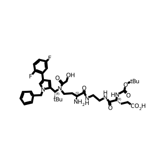 CC(C)(C)OC(=O)N[C@H](CCC(=O)O)C(=O)NCCNC(=O)[C@@H](N)CCN(C(=O)CO)[C@@H](c1cc(-c2cc(F)ccc2F)cn1Cc1ccccc1)C(C)(C)C